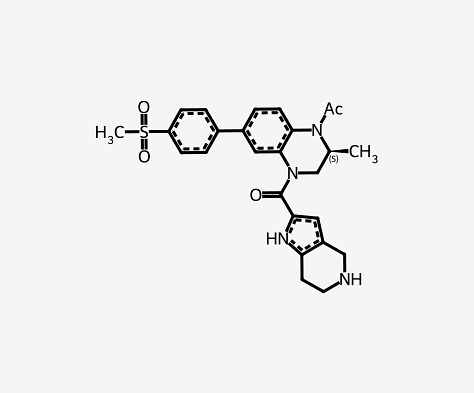 CC(=O)N1c2ccc(-c3ccc(S(C)(=O)=O)cc3)cc2N(C(=O)c2cc3c([nH]2)CCNC3)C[C@@H]1C